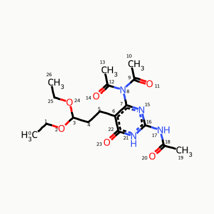 CCOC(CCc1c(N(C(C)=O)C(C)=O)nc(NC(C)=O)[nH]c1=O)OCC